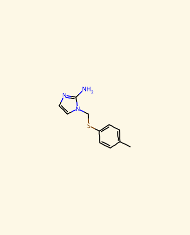 Cc1ccc(SCn2ccnc2N)cc1